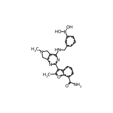 Cc1oc2c(C(N)=O)cccc2c1-c1nc2c(c(NCc3cccc(B(O)O)c3)n1)CN(C)C2